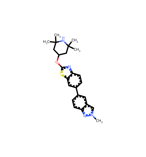 Cn1cc2cc(-c3ccc4nc(OC5CC(C)(C)NC(C)(C)C5)sc4c3)ccc2n1